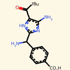 CC(C)(C)C(=O)c1[nH]c(C(N)c2ccc(C(=O)O)cc2)nc1N